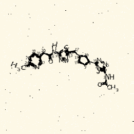 CC(=O)Nc1nnc([C@H]2CC[C@@H](Cc3nnc(NC(=O)Cc4ccc(C)nc4)s3)C2)s1